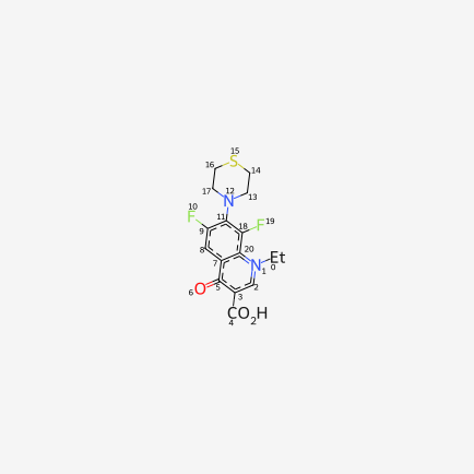 CCn1cc(C(=O)O)c(=O)c2cc(F)c(N3CCSCC3)c(F)c21